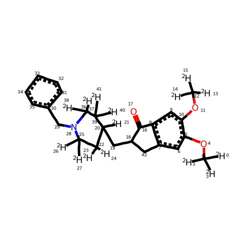 [2H]C([2H])([2H])Oc1cc2c(cc1OC([2H])([2H])[2H])C(=O)C(CC1([2H])C([2H])([2H])C([2H])([2H])N(Cc3ccccc3)C([2H])([2H])C1([2H])[2H])C2